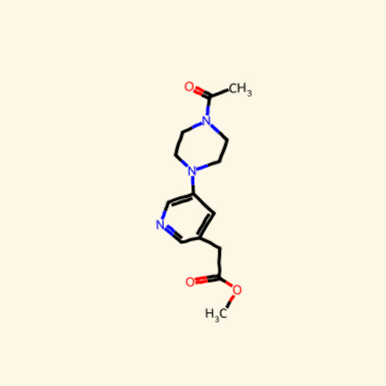 COC(=O)Cc1cncc(N2CCN(C(C)=O)CC2)c1